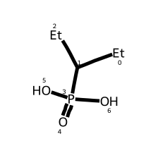 CCC(CC)P(=O)(O)O